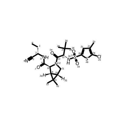 CC[C@@H](C#N)NC(=O)[C@@H]1[C@@H]2[C@H](CN1C(=O)[C@@H](NS(=O)(=O)c1cc(C)c(Cl)s1)C(C)(C)C)C2(C)C